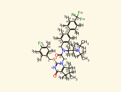 [2H]c1c([2H])c(CSc2nc(=O)c3c(n2CC(=O)N(Cc2c([2H])c([2H])c(-c4c([2H])c([2H])c(C(F)(F)F)c([2H])c4[2H])c([2H])c2[2H])C([2H])([2H])C([2H])([2H])N(C([2H])([2H])C)C([2H])([2H])C)C([2H])([2H])C([2H])(C)C3([2H])[2H])c([2H])c([2H])c1F